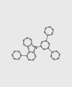 c1ccc(-c2cc(-c3ccccc3)cc(-n3c4ccccc4c4c(-c5ccccc5)cccc43)c2)cc1